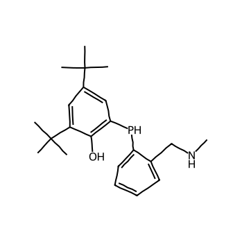 CNCc1ccccc1Pc1cc(C(C)(C)C)cc(C(C)(C)C)c1O